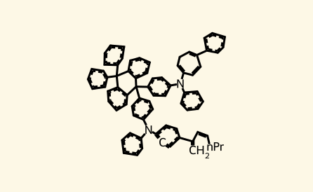 C=C(/C=C\CCC)c1ccc(N(c2ccccc2)c2ccc(C3(c4ccc(N(C5=CCC=C(c6ccccc6)C=C5)c5ccccc5)cc4)c4ccccc4C(c4ccccc4)(c4ccccc4)c4ccccc43)cc2)cc1